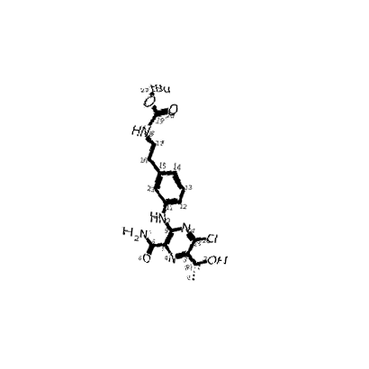 C[C@@H](O)c1nc(C(N)=O)c(Nc2cccc(CCNC(=O)OC(C)(C)C)c2)nc1Cl